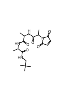 CC(NC(=O)C(C)NC(=O)C(C)N1C(=O)C=CC1=O)C(=O)NCC(C)(C)C